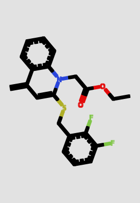 C=C1C=C(SCc2cccc(F)c2F)N(CC(=O)OCC)c2ccccc21